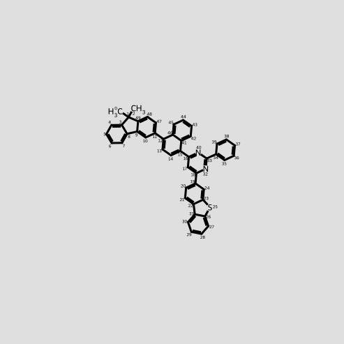 CC1(C)c2ccccc2-c2cc(-c3ccc(-c4cc(-c5ccc6c(c5)sc5ccccc56)nc(-c5ccccc5)n4)c4ccccc34)ccc21